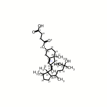 CC/C=C1/C[C@@H](OC(=O)CCC(=O)O)CC[C@]1(C)[C@H](C)CC[C@@]1(C)[C@H](C)CC[C@@H]1[C@H](C)CCC(C)(C)O